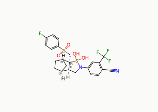 N#Cc1ccc(N2C[C@H]3[C@H]4CC[C@H](C4)[C@@]3(CS(=O)(=O)c3ccc(F)cc3)S2(O)O)cc1C(F)(F)F